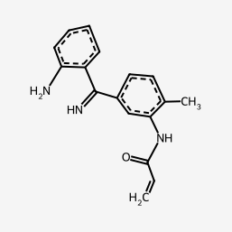 C=CC(=O)Nc1cc(C(=N)c2ccccc2N)ccc1C